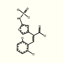 O=C(Cl)C(=Cc1c(Cl)cccc1Cl)c1csc(NP(=O)(Cl)Cl)n1